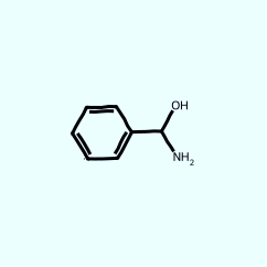 NC(O)c1c[c]ccc1